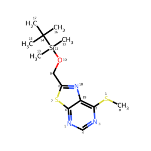 CSc1ncnc2sc(CO[Si](C)(C)C(C)(C)C)nc12